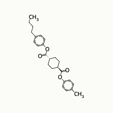 CCCCc1ccc(OC(=O)[C@H]2CC[C@H](C(=O)Oc3ccc(C)cc3)CC2)cc1